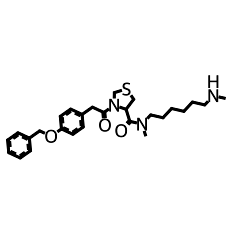 CNCCCCCCN(C)C(=O)C1CSCN1C(=O)Cc1ccc(OCc2ccccc2)cc1